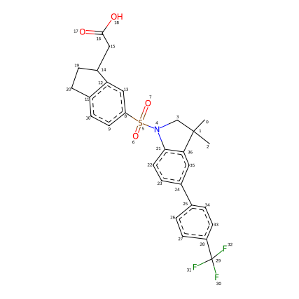 CC1(C)CN(S(=O)(=O)c2ccc3c(c2)C(CC(=O)O)CC3)c2ccc(-c3ccc(C(F)(F)F)cc3)cc21